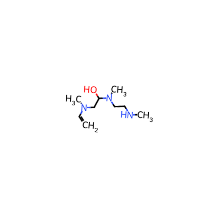 C=CN(C)CC(O)N(C)CCNC